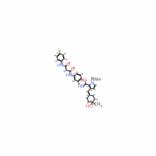 CNn1ccc(C=C2CCC(C)(O)CC2)c1C(=N)Oc1ccc(NC(=O)CC(=O)Nc2ccc(F)cc2)cc1F